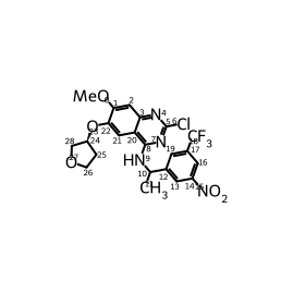 COc1cc2nc(Cl)nc(NC(C)c3cc([N+](=O)[O-])cc(C(F)(F)F)c3)c2cc1O[C@H]1CCOC1